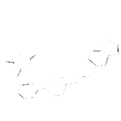 O=C1NC(=O)C(=Cc2ccnc(N3CCC(CNCc4ccc5[nH]ccc5c4)CC3)n2)S1